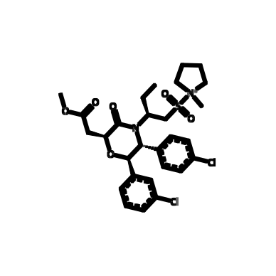 CC[C@@H](CS(=O)(=O)[N+]1(C)CCCC1)N1C(=O)[C@H](CC(=O)OC)O[C@H](c2cccc(Cl)c2)[C@H]1c1ccc(Cl)cc1